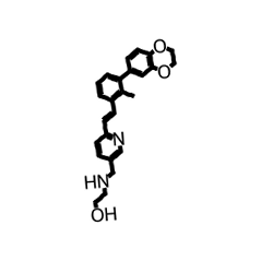 Cc1c(C=Cc2ccc(CNCCO)cn2)cccc1-c1ccc2c(c1)OCCO2